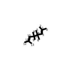 CC(C)=CC(C)(C)C(C)(C)C=C(C)C